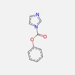 O=C(Oc1ccccc1)n1ccnc1